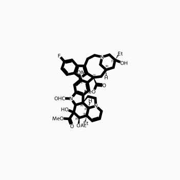 CC[C@]1(O)C[C@@H]2CN(CCc3c([nH]c4ccc(F)cc34)[C@@](C(=O)OC)(c3cc4c(cc3OC)N(C=O)C3C(O)(C(=O)OC)[C@H](OC(C)=O)[C@]5(CC)C=CCN6CC[C@]43[C@@H]65)C2)C1